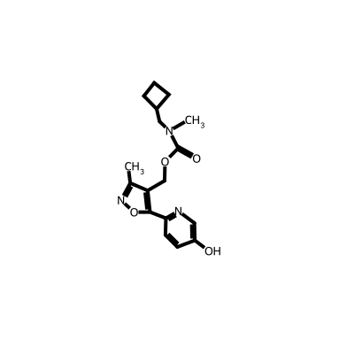 Cc1noc(-c2ccc(O)cn2)c1COC(=O)N(C)CC1CCC1